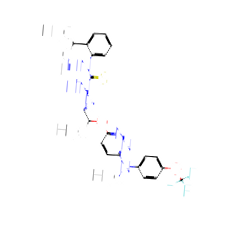 CC(/C=N/NC(=S)Nc1ccccc1C(C)C)Oc1ccc(N(C)c2ccc(OC(F)(F)F)cc2)nn1